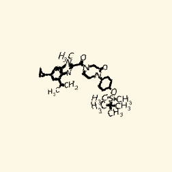 C=C(C)c1cc(C2CC2)cc2c1nc(C(=O)N1CCN(C3CCC(O[Si](C)(C)C(C)(C)C)CC3)C(=O)C1)n2C